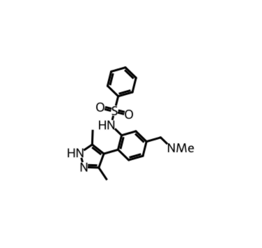 CNCc1ccc(-c2c(C)n[nH]c2C)c(NS(=O)(=O)c2ccccc2)c1